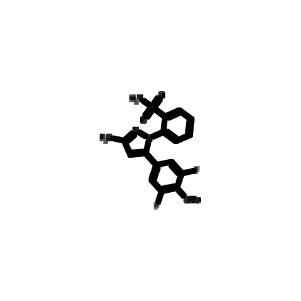 COc1c(F)cc(-c2cc(C(F)(F)F)nn2-c2ccccc2S(N)(=O)=O)cc1F